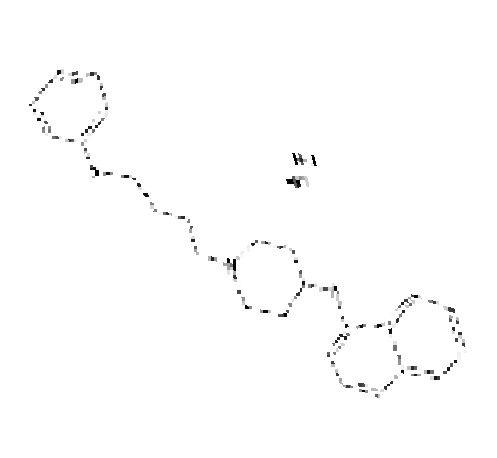 Cl.Cl.c1ccc(OCCCCN2CCC(Nc3cccc4ccccc34)CC2)cc1